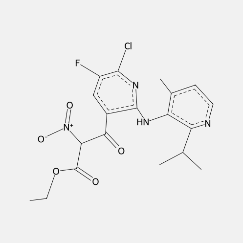 CCOC(=O)C(C(=O)c1cc(F)c(Cl)nc1Nc1c(C)ccnc1C(C)C)[N+](=O)[O-]